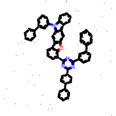 c1ccc(-c2ccc(-c3nc(-c4cccc(-c5ccccc5)c4)nc(-c4cccc5c4oc4cc6c7ccccc7n(-c7cccc(-c8ccccc8)c7)c6cc45)n3)cc2)cc1